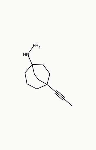 CC#CC12CCCC(NP)(CC1)CC2